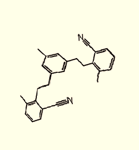 Cc1cc(CCc2c(C)cccc2C#N)cc(CCc2c(C)cccc2C#N)c1